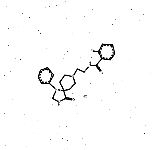 Cl.O=C(NCCN1CCC2(CC1)C(=O)NCN2c1ccccc1)c1ccccc1F